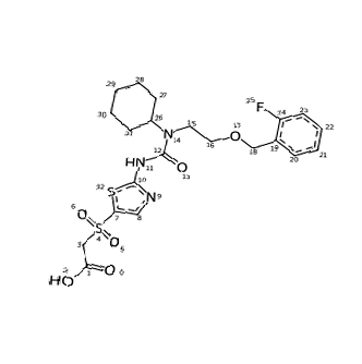 O=C(O)CS(=O)(=O)c1cnc(NC(=O)N(CCOCc2ccccc2F)C2CCCCC2)s1